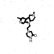 Cc1cc2c3c(n(CCN4CCNC(=O)C4)c2cn1)CCN(C)C3